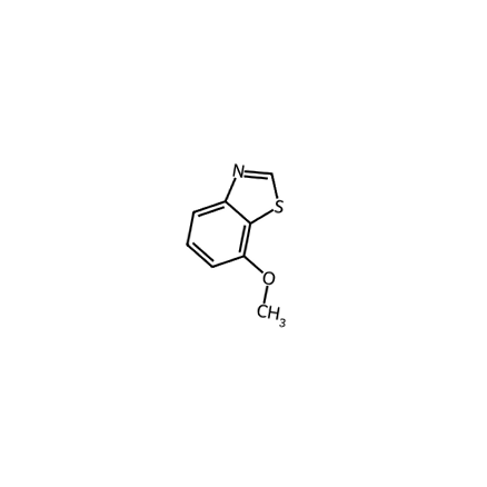 COc1cccc2ncsc12